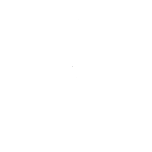 O=C(O)CCCOC(=O)CCCc1ccccc1